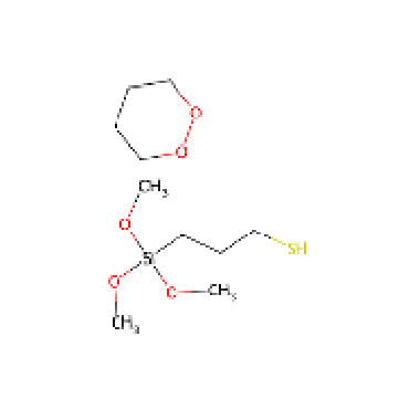 C1CCOOC1.CO[Si](CCCS)(OC)OC